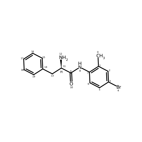 Cc1cc(Br)ccc1NC(=O)[C@H](N)Cc1ccccc1